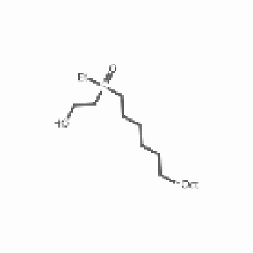 CCCCCCCCCCCCCCP(=O)(CC)CCO